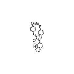 CC(C)COc1ccc(CNC(=O)N(Cc2ccc(F)cc2)[C@H]2CCN3CCC[C@H]3[C@@H]2F)cc1